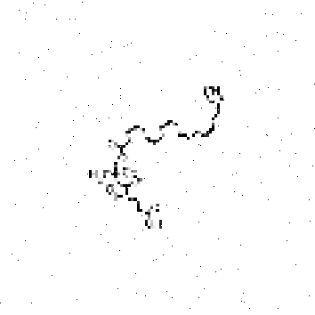 CC/C=C\C/C=C\C/C=C\C/C=C\C/C=C\C/C=C\CC(=O)OCC(C)(C)[C@@H](O)C(=O)NCCC(=O)O